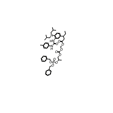 CCC(CC(=O)OCOC(=O)OCC(C)OP(=O)(OCc1ccccc1)OCc1ccccc1)c1ccc(N(CC(C)C)CC(C)C)c(NC(=O)Nc2ccc(C)cc2)c1